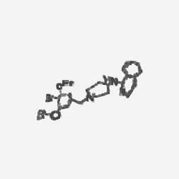 CCOc1cc(CN2CCC(Nc3nccc4ccccc34)CC2)cc(OCC)c1Br